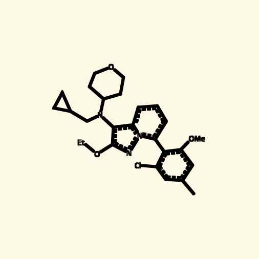 CCOc1nn2c(-c3c(Cl)cc(C)cc3OC)cccc2c1N(CC1CC1)C1CCOCC1